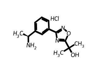 C[C@H](N)c1cccc(-c2noc(C(C)(C)O)n2)c1.Cl